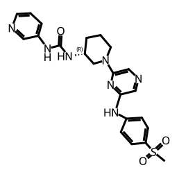 CS(=O)(=O)c1ccc(Nc2cncc(N3CCC[C@@H](NC(=O)Nc4cccnc4)C3)n2)cc1